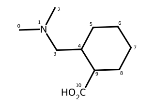 CN(C)CC1CCCCC1C(=O)O